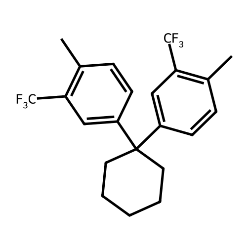 Cc1ccc(C2(c3ccc(C)c(C(F)(F)F)c3)CCCCC2)cc1C(F)(F)F